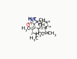 Cc1cc(C)c(C(C(N)=O)C(C)(C)C)c(-c2ccccc2C(C)C)c1